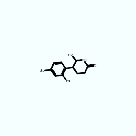 CC(C)(C)c1ccc(C2CCC(=O)NC2O)c(C#N)c1